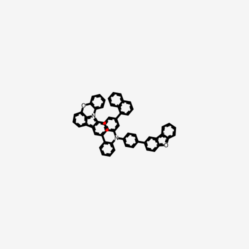 c1cc(-c2cccc3ccccc23)cc(N(c2ccc(-c3ccc4oc5ccccc5c4c3)cc2)c2ccccc2-c2ccc3c(c2)c2cccc4c2n3-c2ccccc2O4)c1